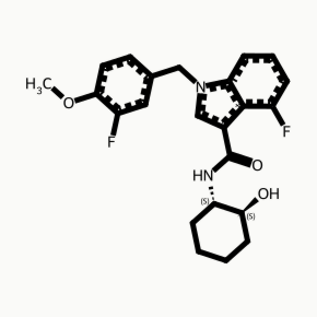 COc1ccc(Cn2cc(C(=O)N[C@H]3CCCC[C@@H]3O)c3c(F)cccc32)cc1F